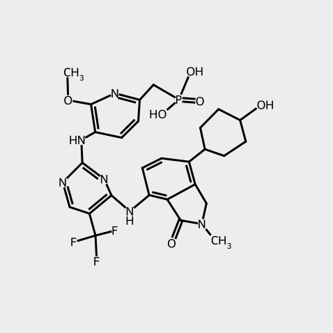 COc1nc(CP(=O)(O)O)ccc1Nc1ncc(C(F)(F)F)c(Nc2ccc(C3CCC(O)CC3)c3c2C(=O)N(C)C3)n1